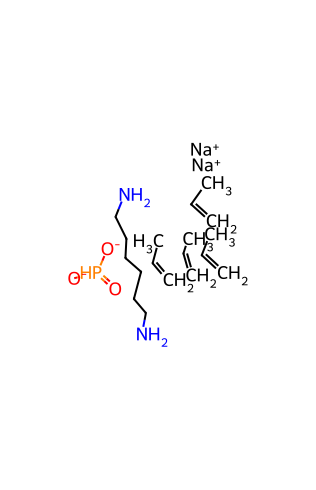 C=CC.C=CC.C=CC.C=CC.NCCCCCCN.O=[PH]([O-])[O-].[Na+].[Na+]